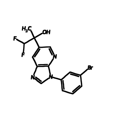 CC(O)(c1cnc2c(c1)ncn2-c1cccc(Br)c1)C(F)F